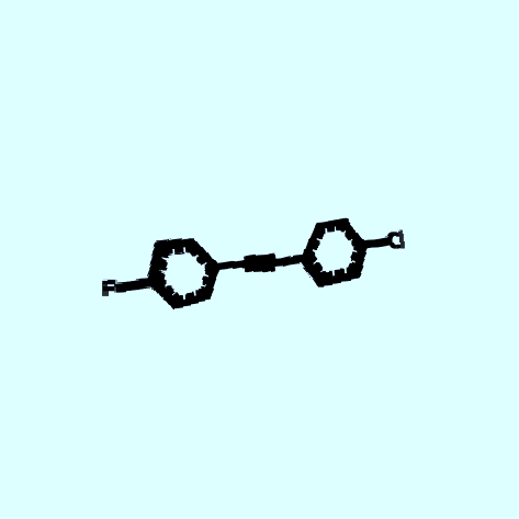 Fc1ccc(C#Cc2ccc(Cl)cc2)cc1